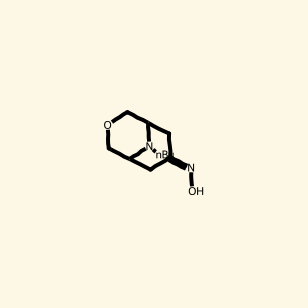 CCCCN1C2COCC1CC(=NO)C2